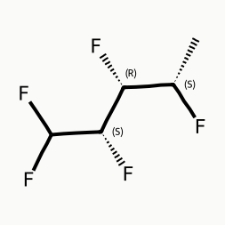 C[C@H](F)[C@@H](F)[C@H](F)C(F)F